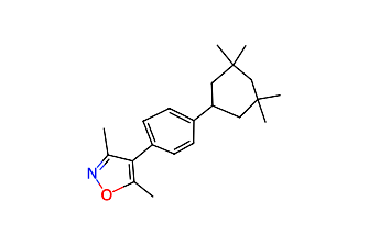 Cc1noc(C)c1-c1ccc(C2CC(C)(C)CC(C)(C)C2)cc1